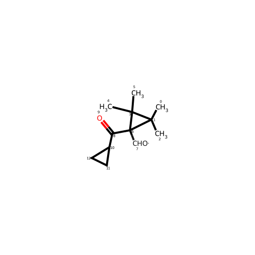 CC1(C)C(C)(C)C1([C]=O)C(=O)C1CC1